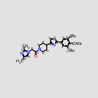 COc1c(C(C)(C)C)cc(-c2nc(C3CCN(C(=O)Cn4cc(C)nc4C)CC3)cs2)cc1C(C)(C)C